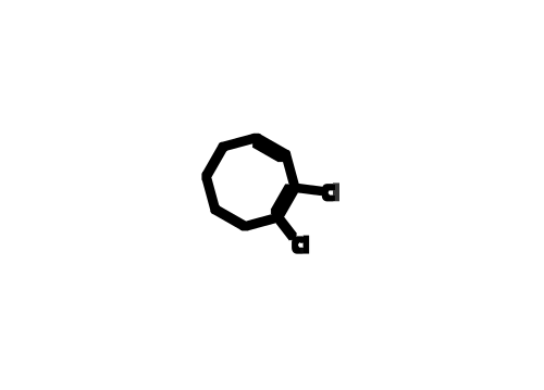 ClC1=C(Cl)CCCCC=C1